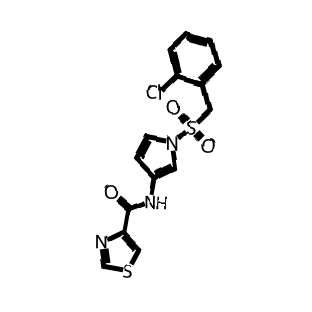 O=C(Nc1ccn(S(=O)(=O)Cc2ccccc2Cl)c1)c1cscn1